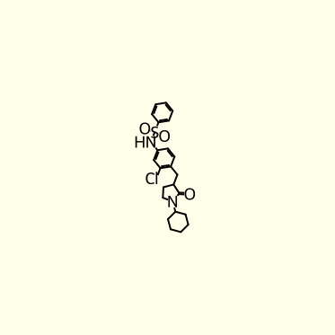 O=C1C(Cc2ccc(NS(=O)(=O)c3ccccc3)cc2Cl)CCN1C1CCCCC1